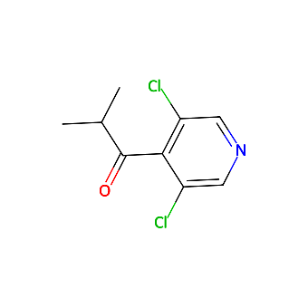 CC(C)C(=O)c1c(Cl)cncc1Cl